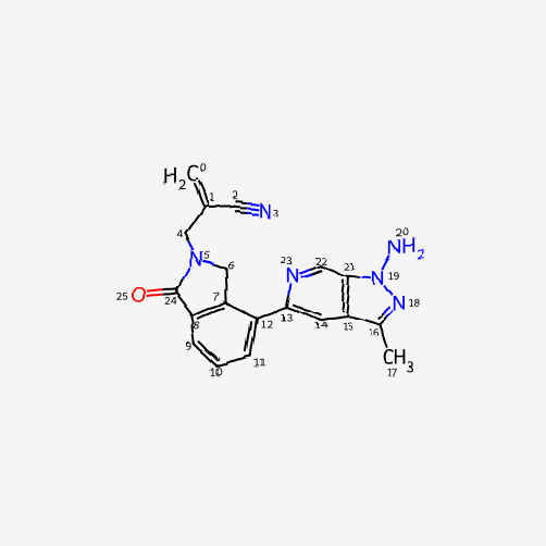 C=C(C#N)CN1Cc2c(cccc2-c2cc3c(C)nn(N)c3cn2)C1=O